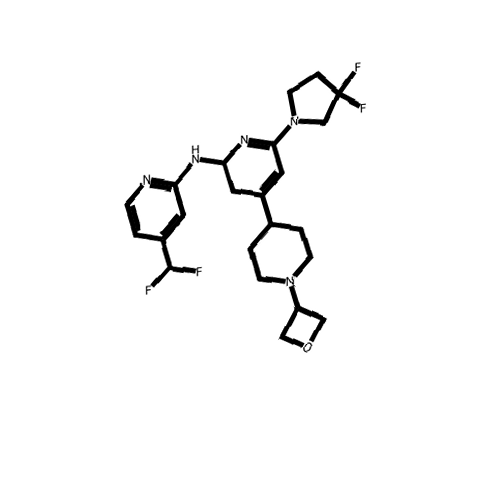 FC(F)c1ccnc(NC2CC(C3CCN(C4COC4)CC3)=CC(N3CCC(F)(F)C3)=N2)c1